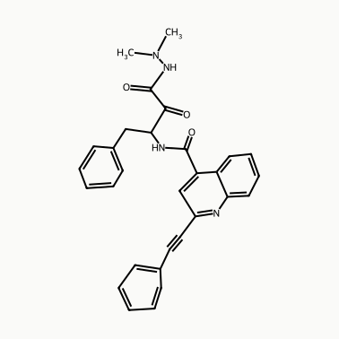 CN(C)NC(=O)C(=O)C(Cc1ccccc1)NC(=O)c1cc(C#Cc2ccccc2)nc2ccccc12